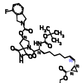 CCOC(=O)[C@H]1C[C@H]1/C=C\CCCCC[C@H](NC(=O)OC(C)(C)C)C(=O)N1C[C@H](OC(=O)N2Cc3cccc(F)c3C2)CC12C(=O)NC2=O